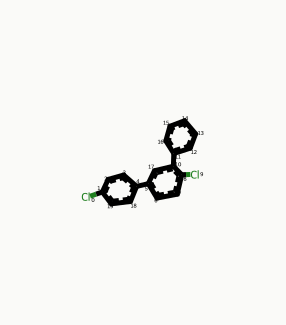 Clc1ccc(-c2ccc(Cl)c(-c3ccccc3)c2)cc1